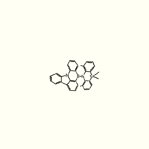 Cc1cccc2c1N(B1c3ccccc3-n3c4ccccc4c4cccc1c43)c1c(C)cccc1[Si]2(C)C